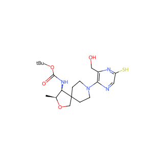 C[C@@H]1OCC2(CCN(c3ncc(S)nc3CO)CC2)[C@@H]1NC(=O)OC(C)(C)C